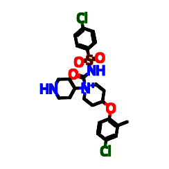 Cc1cc(Cl)ccc1OC1CC[N+](C(=O)NS(=O)(=O)c2ccc(Cl)cc2)(C2CCNCC2)CC1